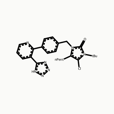 CCCCCc1c(Cl)n(C(C)(C)C)c(=O)n1Cc1ccc(-c2ncccc2-c2nnn[nH]2)cc1